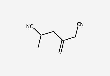 C=C(CC#N)CC(C)C#N